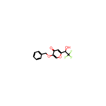 O=c1cc(C(O)C(F)(F)F)occ1OCc1ccccc1